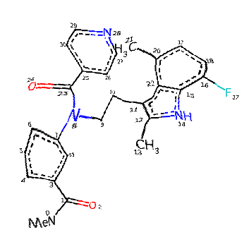 CNC(=O)c1cccc(N(CCc2c(C)[nH]c3c(F)ccc(C)c23)C(=O)c2ccncc2)c1